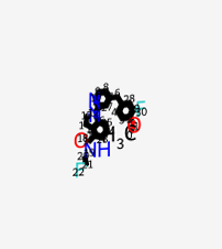 COc1ccc(Cc2ccnc(N3CCc4c(C(=O)NCCF)cccc43)c2)cc1F